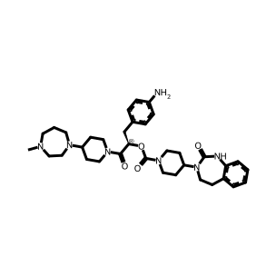 CN1CCCN(C2CCN(C(=O)[C@@H](Cc3ccc(N)cc3)OC(=O)N3CCC(N4CCc5ccccc5NC4=O)CC3)CC2)CC1